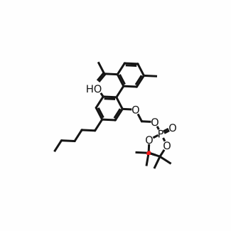 C=C(C)c1ccc(C)cc1-c1c(O)cc(CCCCC)cc1OCOP(=O)(OC(C)(C)C)OC(C)(C)C